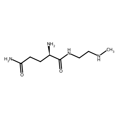 CNCCNC(=O)[C@H](N)CCC(N)=O